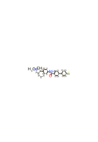 CN(C)CC1CCCc2cc(NC(=O)c3ccc(-c4ccc(F)cc4)cc3)ccc2C1